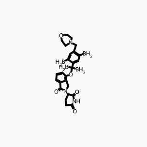 Bc1cc(C(B)(B)Oc2cccc3c2CN(C2CCC(=O)NC2=O)C3=O)c(B)cc1CN1CCOCC1